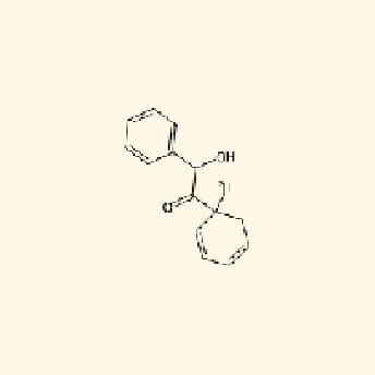 [2H]C1(C(=O)C(O)c2ccccc2)C=CC=CC1